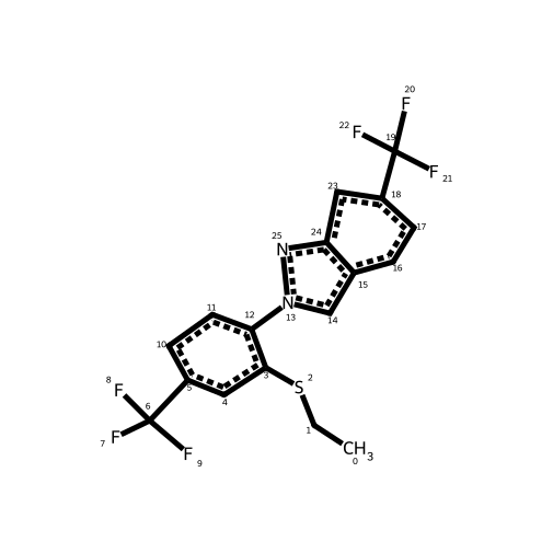 CCSc1cc(C(F)(F)F)ccc1-n1cc2ccc(C(F)(F)F)cc2n1